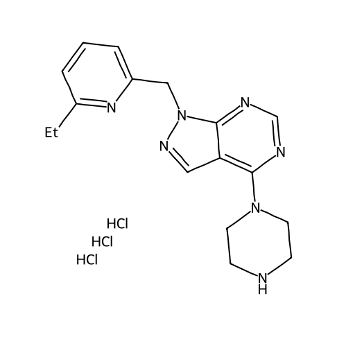 CCc1cccc(Cn2ncc3c(N4CCNCC4)ncnc32)n1.Cl.Cl.Cl